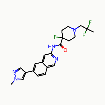 Cn1cc(-c2ccc3cnc(NC(=O)C4(F)CCN(CC(C)(F)F)CC4)cc3c2)cn1